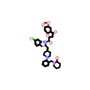 O=C(N[C@H](C=C1CCN(c2ccccc2CN2CCCCC2=O)CC1)Cc1ccc(Cl)cc1)c1cc(=O)c2cc3c(cc2o1)OCO3